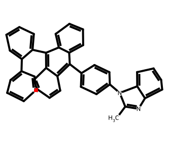 Cc1nc2ccccc2n1-c1ccc(-c2c3ccccc3c(-c3ccccc3-c3cccnc3)c3ccccc23)cc1